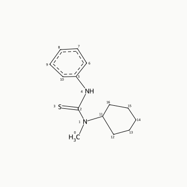 CN(C(=S)Nc1ccccc1)C1CCCCC1